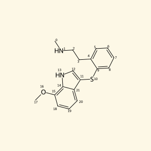 CNCCc1ccccc1Sc1c[nH]c2c(OC)cccc12